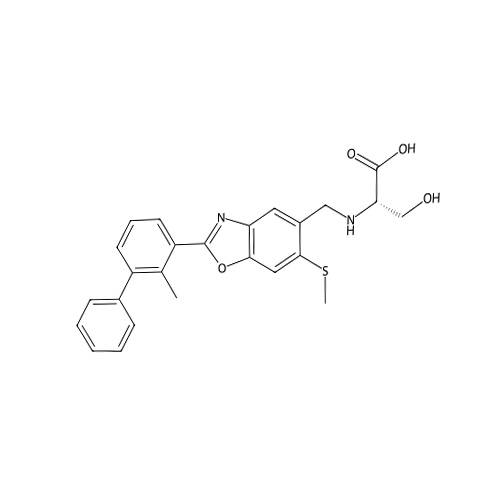 CSc1cc2oc(-c3cccc(-c4ccccc4)c3C)nc2cc1CN[C@@H](CO)C(=O)O